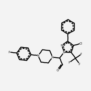 O=CC(N1CCN(c2ccc(F)cc2)CC1)n1nc(-c2ccccc2)c(Cl)c1C(F)(F)F